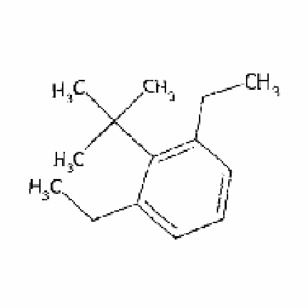 CCc1cccc(CC)c1C(C)(C)C